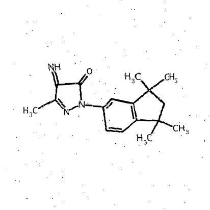 CC1=NN(c2ccc3c(c2)C(C)(C)CC3(C)C)C(=O)C1=N